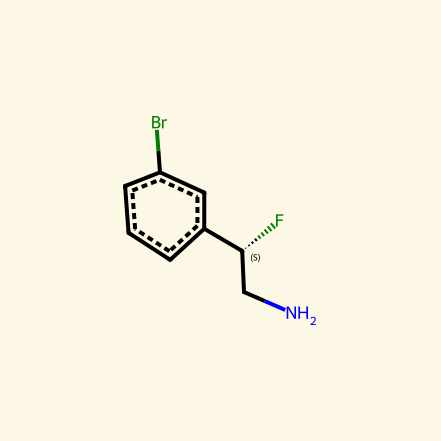 NC[C@@H](F)c1cccc(Br)c1